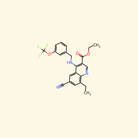 CCOC(=O)c1cnc2c(CC)cc(C#N)cc2c1NCc1cccc(OC(F)(F)F)c1